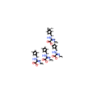 CCN=C(NCC1=CC=CC1)C(=O)[O-].CCN=C(NCC1=CC=CC1)C(=O)[O-].CCN=C(NCC1=CC=CC1)C(=O)[O-].CCN=C(NCC1=CC=CC1)C(=O)[O-].[Ru+4]